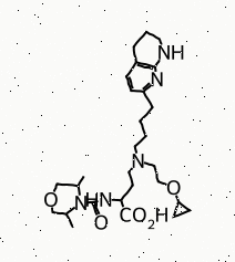 CC1COCC(C)N1C(=O)NC(CCN(CCCCc1ccc2c(n1)NCCC2)CCOC1CC1)C(=O)O